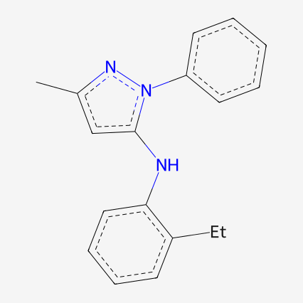 CCc1ccccc1Nc1cc(C)nn1-c1ccccc1